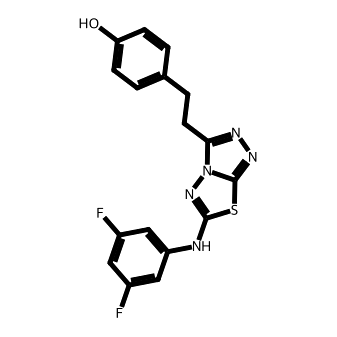 Oc1ccc(CCc2nnc3sc(Nc4cc(F)cc(F)c4)nn23)cc1